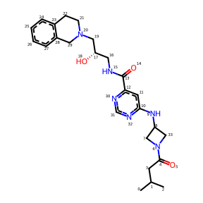 CC(C)CC(=O)N1CC(Nc2cc(C(=O)NC[C@H](O)CN3CCc4ccccc4C3)ncn2)C1